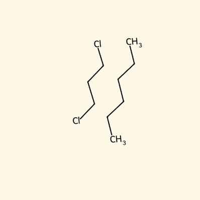 CCCCCC.ClCCCCl